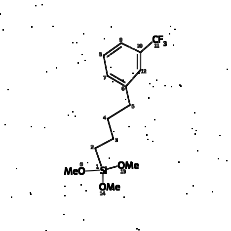 CO[Si](CCCCc1cccc(C(F)(F)F)c1)(OC)OC